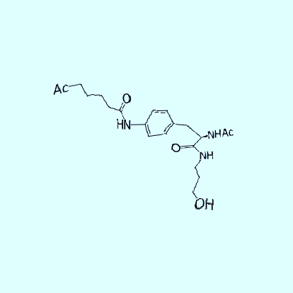 CC(=O)CCCCC(=O)Nc1ccc(C[C@@H](NC(C)=O)C(=O)NCCCO)cc1